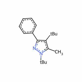 Cc1c(C(C)(C)C)c(-c2ccccc2)nn1C(C)(C)C